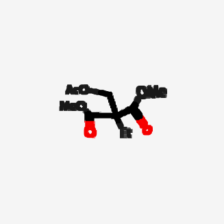 CCC(COC(C)=O)(C(=O)OC)C(=O)OC